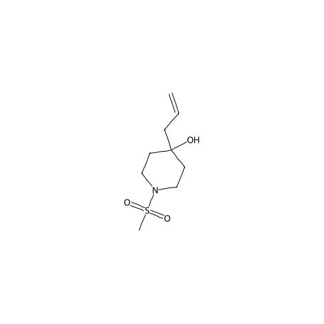 C=CCC1(O)CCN(S(C)(=O)=O)CC1